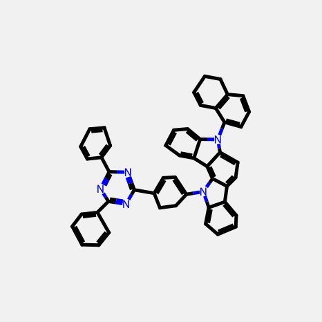 C1=Cc2c(cccc2-n2c3ccccc3c3c4c(ccc32)c2ccccc2n4C2=CC=C(c3nc(-c4ccccc4)nc(-c4ccccc4)n3)CC2)CC1